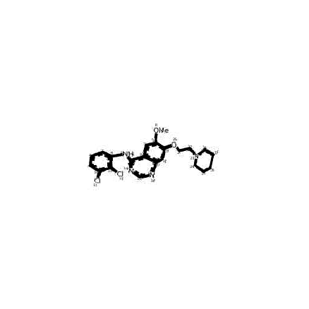 COc1cc2c(Nc3cccc(Cl)c3Cl)ncnc2cc1OCCN1CCCCC1